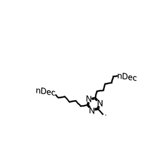 [CH2]c1nc(CCCCCCCCCCCCCCC)nc(CCCCCCCCCCCCCCC)n1